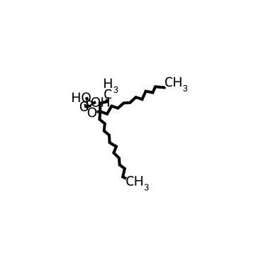 CCCCCCCCCCCCC(CCC)(CCCCCCCCCCCC)OP(=O)(O)O